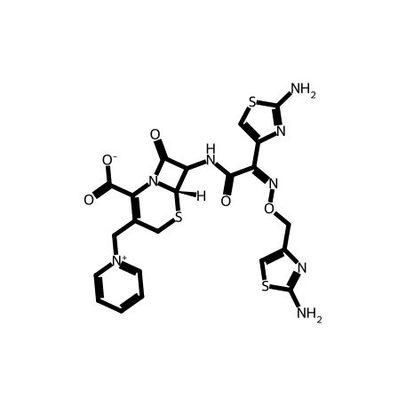 Nc1nc(CO/N=C(\C(=O)NC2C(=O)N3C(C(=O)[O-])=C(C[n+]4ccccc4)CS[C@@H]23)c2csc(N)n2)cs1